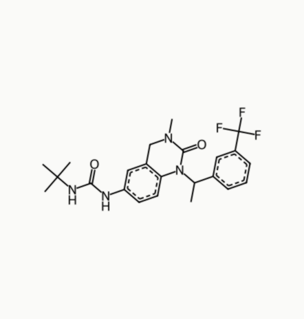 CC(c1cccc(C(F)(F)F)c1)N1C(=O)N(C)Cc2cc(NC(=O)NC(C)(C)C)ccc21